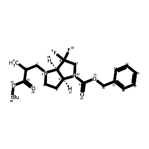 CC(CN1CC[C@H]2[C@@H]1C(F)(F)CN2C(=O)OCc1ccccc1)C(=O)OC(C)(C)C